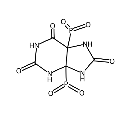 O=C1NC(=O)C2(P(=O)=O)NC(=O)NC2(P(=O)=O)N1